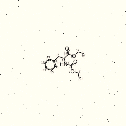 CCOC(=O)NC(Cc1ccccc1)C(=O)OCC